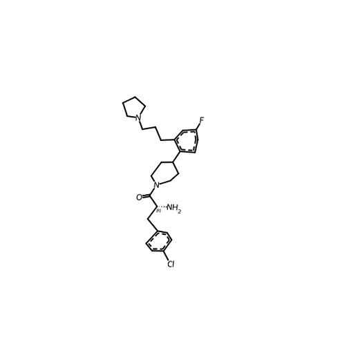 N[C@H](Cc1ccc(Cl)cc1)C(=O)N1CCC(c2ccc(F)cc2CCCN2CCCC2)CC1